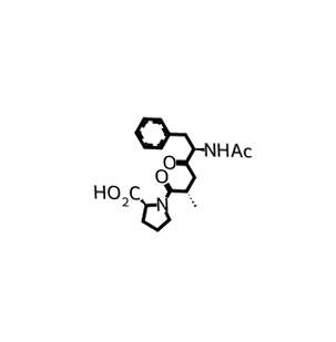 CC(=O)N[C@H](Cc1ccccc1)C(=O)C[C@H](C)C(=O)N1CCC[C@H]1C(=O)O